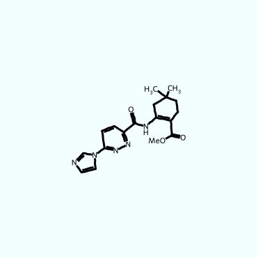 COC(=O)C1=C(NC(=O)c2ccc(-n3ccnc3)nn2)CC(C)(C)CC1